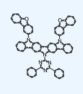 c1ccc(-c2nc(-c3ccccc3)nc(-n3c4cc5c6ccccc6n(-c6ccc7oc8ccccc8c7c6)c5cc4c4cc5c(cc43)c3ccccc3n5-c3ccc4oc5ccccc5c4c3)n2)cc1